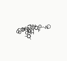 Cc1cc(C)c(OC(=O)NC2(Cc3ccc4c(c3)C=COO4)C=CNC(Nc3ccc(OCCCN4CCCCC4)c(F)c3)N2)c(C)c1